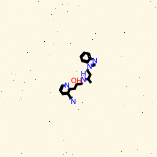 CC(CCn1cnc2ccccc21)NCC(O)Cc1ncccc1C#N